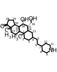 C[C@]12CCC(CCC3CCNCC3)CC1[C@@H](CO)[C@@H](O)C1C2CC[C@]2(C)C(=O)CCC12